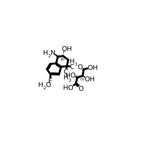 CC1(C)C[C@@H](O)[C@H](N)c2ccc(F)cc21.O.O=C(O)[C@@H](O)[C@H](O)C(=O)O